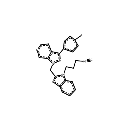 [C-]#[N+]CCCn1c(Cn2nc(-c3ccc(F)cc3)c3ccncc32)nc2ccccc21